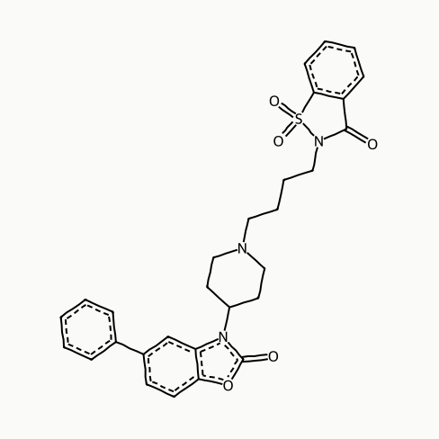 O=C1c2ccccc2S(=O)(=O)N1CCCCN1CCC(n2c(=O)oc3ccc(-c4ccccc4)cc32)CC1